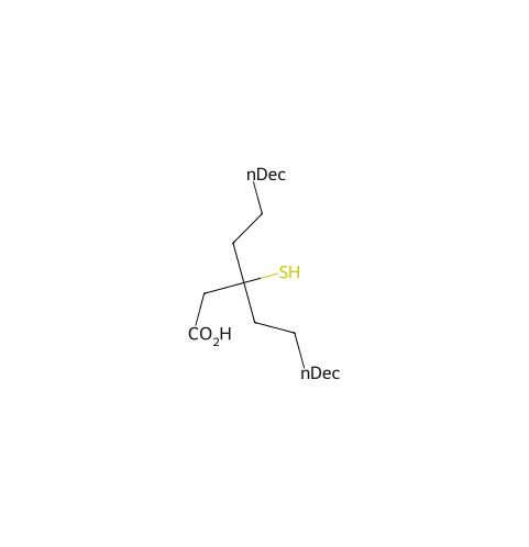 CCCCCCCCCCCCC(S)(CCCCCCCCCCCC)CC(=O)O